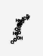 O=C(CN1CCC(C(F)(F)F)CC1)Nc1cn2nc(-c3cccc(C(=O)NCC[C@@H](O)c4ccc(Cl)cc4)c3F)ccc2n1